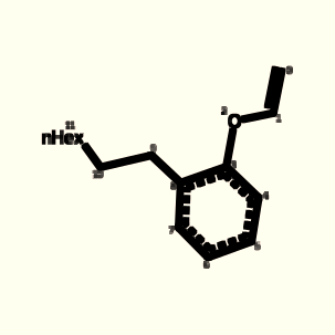 C=COc1ccccc1CCCCCCCC